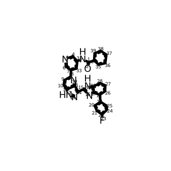 O=C(Nc1cncc(-c2ccc3[nH]nc(-c4nc5c(-c6ccc(F)cc6)cccc5[nH]4)c3n2)c1)c1ccccc1